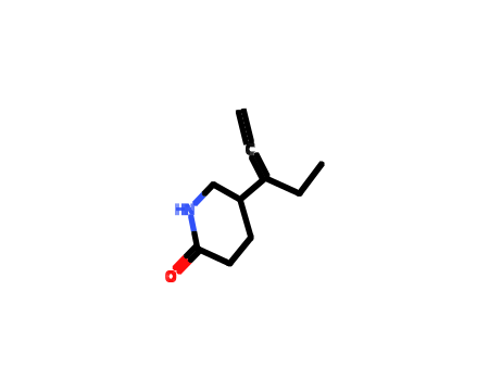 C=C=C(CC)C1CCC(=O)NC1